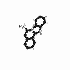 Cc1cc2ccccc2c2nc3ccccc3n12